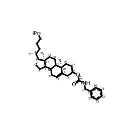 CC(C)CCC[C@@H](C)[C@H]1CCC2C3CC=C4CC(OC(=O)NCc5ccccc5)CC[C@]4(C)C3CC[C@@]21C